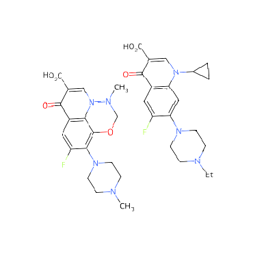 CCN1CCN(c2cc3c(cc2F)c(=O)c(C(=O)O)cn3C2CC2)CC1.CN1CCN(c2c(F)cc3c(=O)c(C(=O)O)cn4c3c2OCN4C)CC1